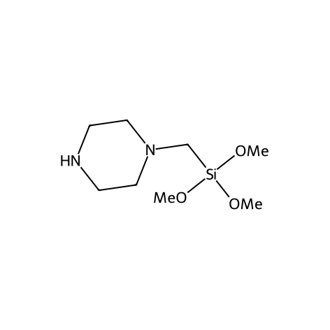 CO[Si](CN1CCNCC1)(OC)OC